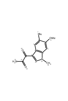 COc1cc2c(cc1C(C)(C)C)c(C(=O)C(N)=O)cn2C